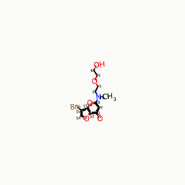 CN(CCOCCO)c1cc(=O)c2occ(Br)c2o1